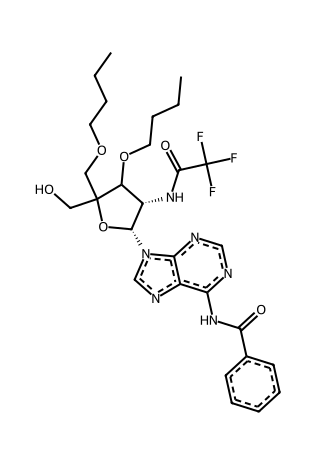 CCCCOCC1(CO)O[C@@H](n2cnc3c(NC(=O)c4ccccc4)ncnc32)[C@@H](NC(=O)C(F)(F)F)C1OCCCC